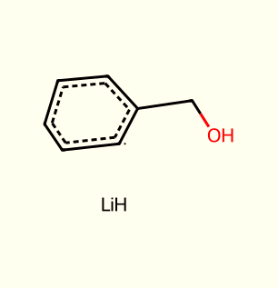 OCc1[c]cccc1.[LiH]